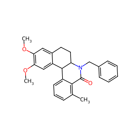 COc1cc2c(cc1OC)C1c3cccc(C)c3C(=O)N(Cc3ccccc3)C1CC2